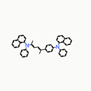 C/C(=C\C=C(/C)N(c1ccccc1)c1cccc2ccccc12)c1ccc(N(c2ccccc2)c2cccc3ccccc23)cc1